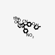 Cc1cccc(Oc2ccc(-c3c(C#N)c4n(c3-c3ccc([N+](=O)[O-])cc3)CCN4C(=O)OC(C)(C)C)cc2)n1